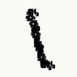 CCc1ccc(-c2ccc(C(=O)Oc3ccc(N=Nc4cc5sc(N=Nc6ccc(N(CC)CC)cc6)nc5s4)cc3)cc2)cc1